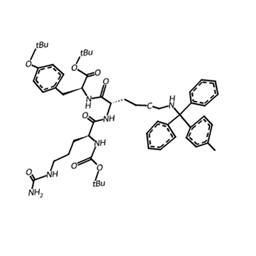 Cc1ccc(C(NCCCC[C@H](NC(=O)[C@H](CCCNC(N)=O)NC(=O)OC(C)(C)C)C(=O)N[C@@H](Cc2ccc(OC(C)(C)C)cc2)C(=O)OC(C)(C)C)(c2ccccc2)c2ccccc2)cc1